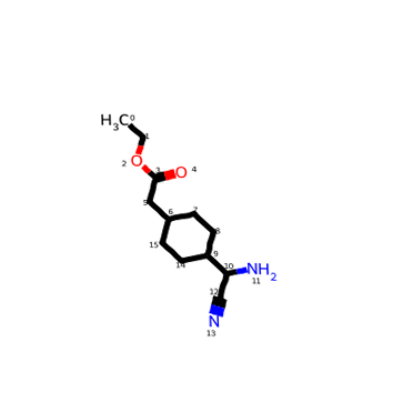 CCOC(=O)CC1CCC(C(N)C#N)CC1